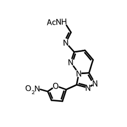 CC(=O)NC=Nc1ccc2nnc(-c3ccc([N+](=O)[O-])o3)n2n1